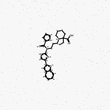 CCC1(C(=O)O)CCCCN1CCCN(C(=O)c1cccs1)c1nc(-c2cc3ccccc3o2)cs1